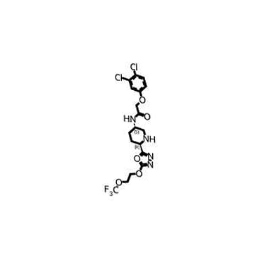 O=C(COc1ccc(Cl)c(Cl)c1)N[C@H]1CC[C@H](c2nnc(OCCOC(F)(F)F)o2)NC1